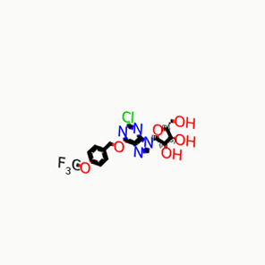 OC[C@H]1O[C@@H](n2cnc3c(OCc4ccc(OC(F)(F)F)cc4)nc(Cl)nc32)[C@H](O)[C@@H]1O